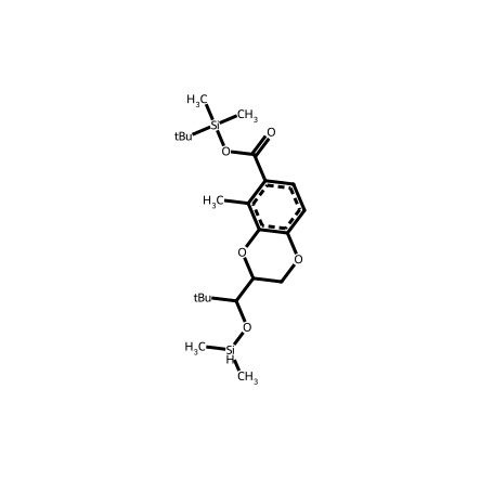 Cc1c(C(=O)O[Si](C)(C)C(C)(C)C)ccc2c1OC(C(O[SiH](C)C)C(C)(C)C)CO2